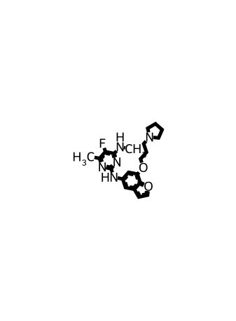 CNc1nc(Nc2cc(OCCCN3CCCC3)c3occc3c2)nc(C)c1F